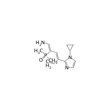 C=C/C(=C\C(=C\N)P(C)(C)=O)c1nccn1C1CC1